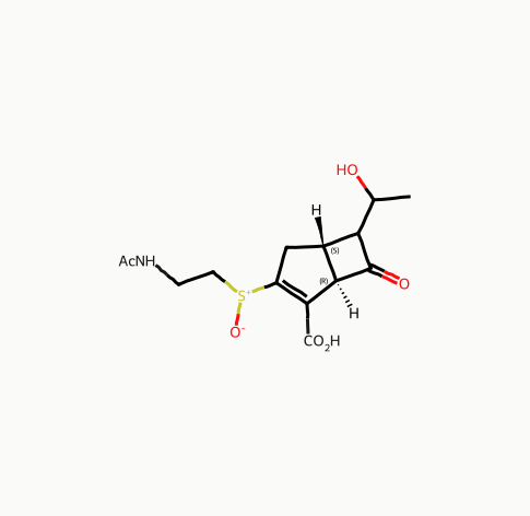 CC(=O)NCC[S+]([O-])C1=C(C(=O)O)[C@@H]2C(=O)C(C(C)O)[C@H]2C1